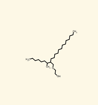 CCCCCCCCCCCCCC(COCCO)C(C)CCCCCC